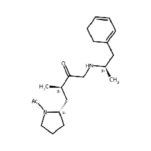 CC(=O)N1CCC[C@H]1C[C@@H](C)C(=O)CN[C@H](C)CC1=CC=CCC1